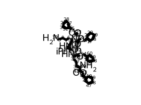 CC(C)[C@H](NC(=O)[C@H](CCCCN)N(C(=O)OCc1ccccc1)C(=O)OCc1ccccc1)C(=O)N[C@@H](CCCC(N)C(=O)OCc1ccccc1)C(=O)OCc1ccccc1